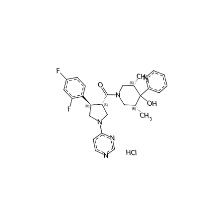 C[C@@H]1CN(C(=O)[C@@H]2CN(c3ccncn3)C[C@H]2c2ccc(F)cc2F)C[C@H](C)C1(O)c1ccccn1.Cl